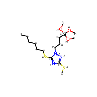 CCCCCCSc1nc(SC)nn1CCC[Si](OC)(OC)OC